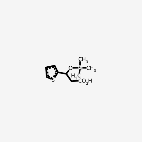 C[Si](C)(C)OC(CC(=O)O)c1cccs1